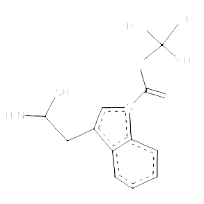 CC(C)(C)OC(=O)n1cc(CC(N)N)c2ccccc21